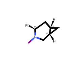 CC(C)[C@H]1C[C@@H]2C[C@@H]2CN1I